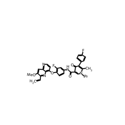 C=Cc1nc2c(Oc3ccc(NC(=O)c4cn(C(C)C)c(C)c(-c5ccc(F)cc5)c4=O)cc3F)ccnc2cc1OC